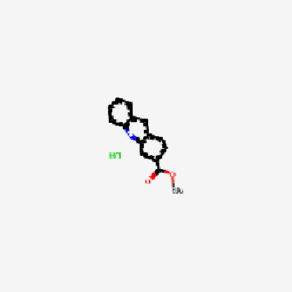 CC(C)(C)OC(=O)c1ccc2cc3ccccc3nc2c1.Cl